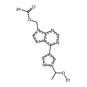 CCOC(C)n1cc(-c2ncnc3c2ccn3COC(=O)C(C)C)cn1